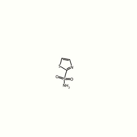 NS(=O)(=O)c1nccs1